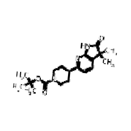 CC(C)(C)OC(=O)N1CCC(c2ccc3c(n2)NC(=O)C3(C)C)CC1